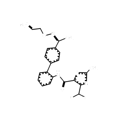 C=CCO/N=C(/C)c1ccc(-c2ccccc2NC(=O)c2sc(C)nc2C(F)F)cc1